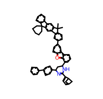 CC1(C)c2ccc(-c3ccc4oc5c(C6CC(c7ccc(-c8ccccc8)cc7)N=C(C7=CC=C8CC7C8)N6)cccc5c4c3)cc2-c2cc3c(cc21)-c1ccccc1C31CCCCC1